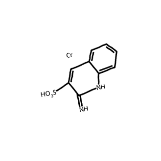 N=c1[nH]c2ccccc2cc1S(=O)(=O)O.[Cr]